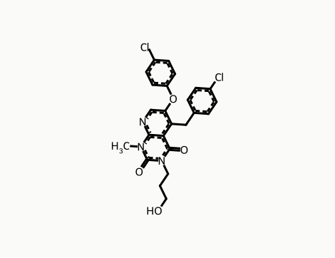 Cn1c(=O)n(CCCO)c(=O)c2c(Cc3ccc(Cl)cc3)c(Oc3ccc(Cl)cc3)cnc21